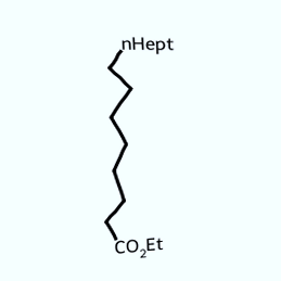 C[CH]OC(=O)CCCCCCCCCCCCCC